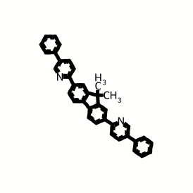 CC1(C)c2cc(-c3ccc(-c4ccccc4)cn3)ccc2-c2ccc(-c3ccc(-c4ccccc4)cn3)cc21